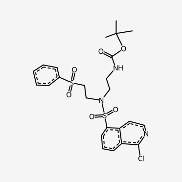 CC(C)(C)OC(=O)NCCN(CCS(=O)(=O)c1ccccc1)S(=O)(=O)c1cccc2c(Cl)nccc12